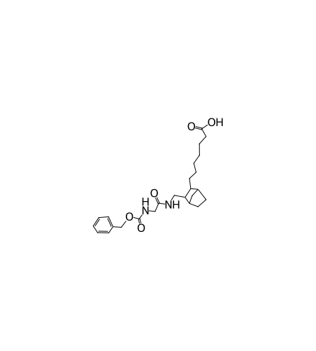 O=C(O)CCCCCCC1C2CCC(C2)C1CNC(=O)CNC(=O)OCc1ccccc1